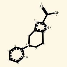 O=C(O)c1nc2c(s1)CN(c1ccccn1)CC2